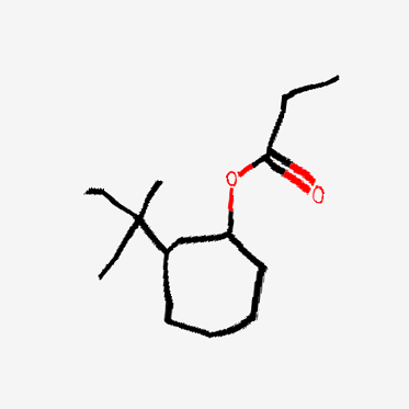 CCC(=O)OC1CCCCC1C(C)(C)C